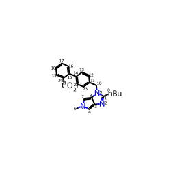 CCCCc1nc2cn(C)cc2n1Cc1ccc(-c2ccccc2C(=O)O)cc1